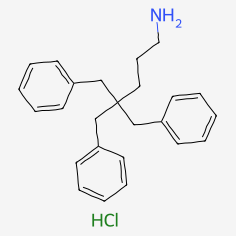 Cl.NCCCC(Cc1ccccc1)(Cc1ccccc1)Cc1ccccc1